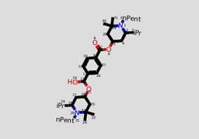 CCCCCN1C(C(C)C)CC(OC(=O)c2ccc(C(O)OC3CC(C(C)C)N(CCCCC)C(C)(C)C3)cc2)CC1(C)C